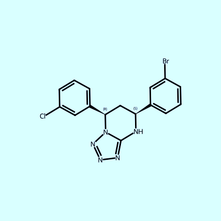 Clc1cccc([C@H]2C[C@@H](c3cccc(Br)c3)Nc3nnnn32)c1